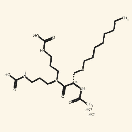 CCCCCCCCSC[C@H](NC(C)=O)C(=O)N(CCCNC(=O)O)CCCNC(=O)O.Cl.Cl